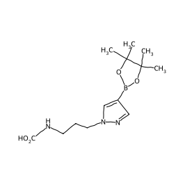 CC1(C)OB(c2cnn(CCCNC(=O)O)c2)OC1(C)C